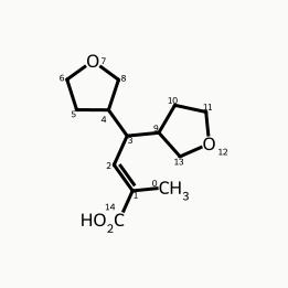 C/C(=C\C(C1CCOC1)C1CCOC1)C(=O)O